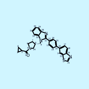 O=C(C1CC1)N1CC[C@H](Cn2c(-c3ccc(-c4ccc5ncsc5c4)cc3)nc3ccccc32)C1